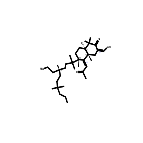 CCCC(C)(C)CC[C@](C)(CCO)CCC(C)(C)[C@]1(C)CC[C@H]2C(C)(C)C(=O)/C(=C\O)C[C@]2(C)/C1=C/C(C)=O